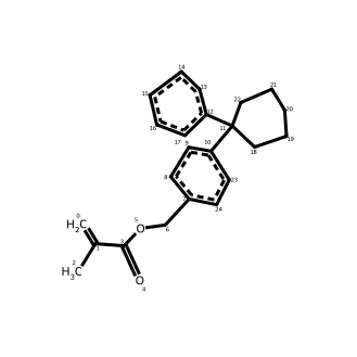 C=C(C)C(=O)OCc1ccc(C2(c3ccccc3)CCCCC2)cc1